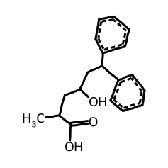 CC(CC(O)CC(c1ccccc1)c1ccccc1)C(=O)O